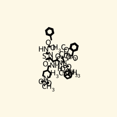 COc1ccccc1C(=O)OC[C@@](NC(=O)C(NC(=O)C1CCN(S(C)(=O)=O)CC1)c1csc(NC(=O)OCc2ccccc2)n1)(B1OC2CC3CC(C3(C)C)[C@]2(C)O1)C(C)(C)C